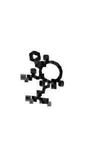 NC(=O)CN1CC(Cc2ccccc2)NC(=O)CCCCCC(=O)NC(CCCN=C(N)N)C1=O